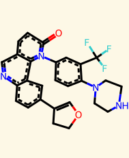 O=c1ccc2cnc3ccc(C4=COCC4)cc3c2n1-c1ccc(N2CCNCC2)c(C(F)(F)F)c1